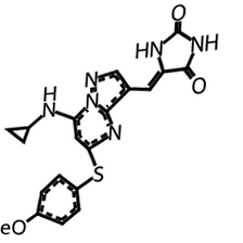 COc1ccc(Sc2cc(NC3CC3)n3ncc(/C=C4\NC(=O)NC4=O)c3n2)cc1